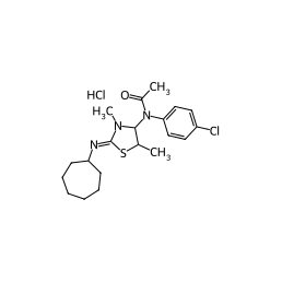 CC(=O)N(c1ccc(Cl)cc1)C1C(C)SC(=NC2CCCCCC2)N1C.Cl